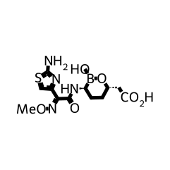 CO/N=C(/C(=O)N[C@H]1CC[C@@H](CC(=O)O)OB1O)c1csc(N)n1